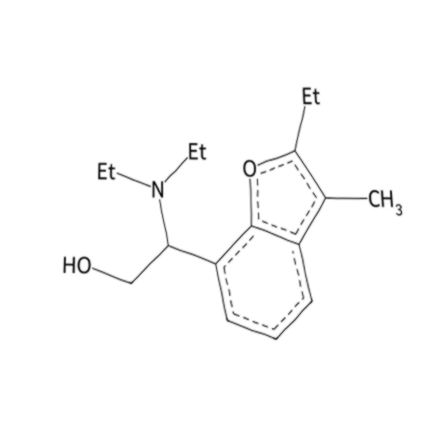 CCc1oc2c(C(CO)N(CC)CC)cccc2c1C